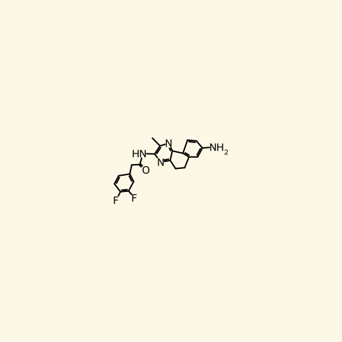 Cc1nc2c(nc1NC(=O)Cc1ccc(F)c(F)c1)CCc1cc(N)ccc1-2